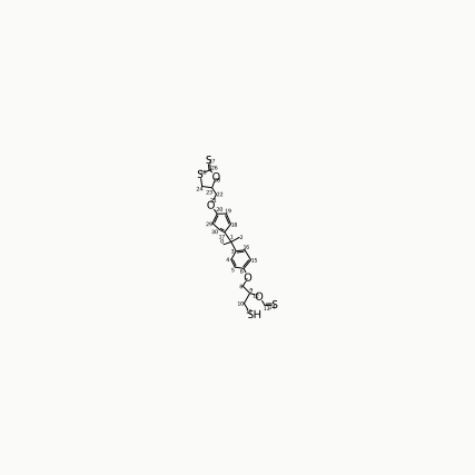 CC(C)(c1ccc(OCC(CS)OC=S)cc1)c1ccc(OCC2CSC(=S)O2)cc1